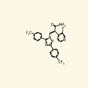 NC(=O)C(=Cn1nc(-c2ccc(C(F)(F)F)cc2)nc1-c1ccc(C(F)(F)F)cc1)c1ccncc1F